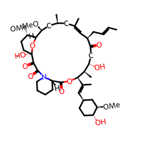 C/C=C/C[C@@H]1/C=C(\C)C[C@H](C)C[C@H](OC)[C@H]2O[C@@](O)(C(=O)C(=O)N3CCCC[C@H]3C(=O)O[C@H](/C(C)=C/[C@@H]3CC[C@@H](O)[C@H](OC)C3)[C@H](C)[C@@H](O)CC1=O)[C@H](C)C[C@@H]2OC